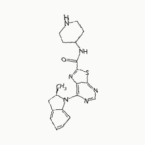 C[C@@H]1Cc2ccccc2N1c1ncnc2sc(C(=O)NC3CCNCC3)nc12